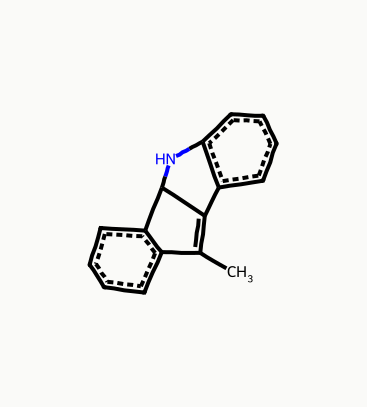 CC1=C2c3ccccc3NC2c2ccccc21